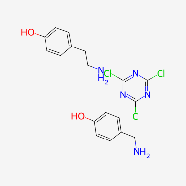 Clc1nc(Cl)nc(Cl)n1.NCCc1ccc(O)cc1.NCc1ccc(O)cc1